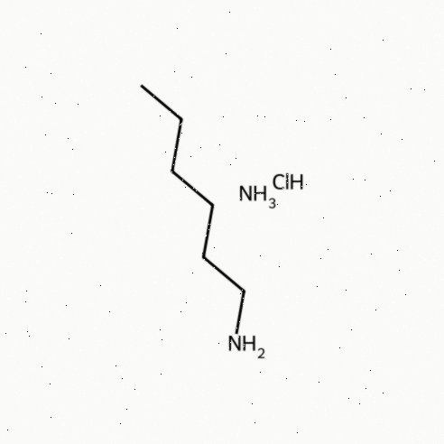 CCCCCCN.Cl.N